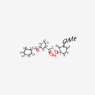 COc1cccc(OCC(O)c2cccc(OCc3ccccc3)c2)c1